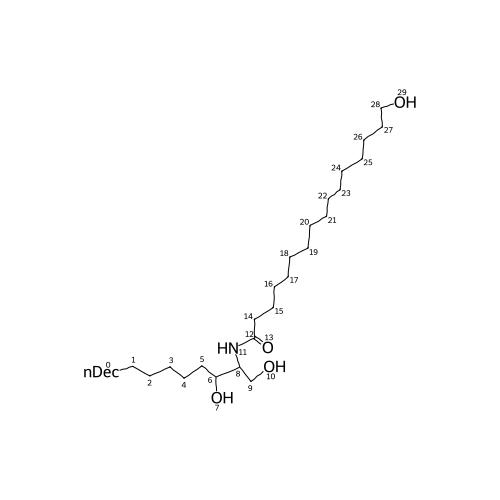 CCCCCCCCCCCCCCCC(O)C(CO)NC(=O)CCCCCCCCCCCCCCCO